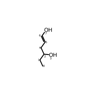 CCC(O)CC=CO